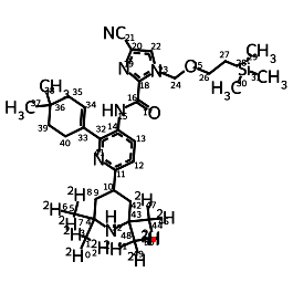 [2H]C([2H])([2H])C1(C([2H])([2H])[2H])CC(c2ccc(NC(=O)c3nc(C#N)cn3COCC[Si](C)(C)C)c(C3=CCC(C)(C)CC3)n2)CC(C([2H])([2H])[2H])(C([2H])([2H])[2H])N1